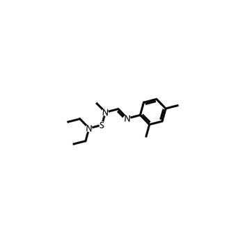 CCN(CC)SN(C)C=Nc1ccc(C)cc1C